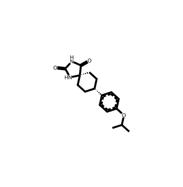 CC(C)Oc1ccc([C@H]2CC[C@]3(CC2)NC(=O)NC3=O)cc1